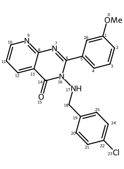 COc1cccc(-c2nc3ncccc3c(=O)n2NCc2ccc(Cl)cc2)c1